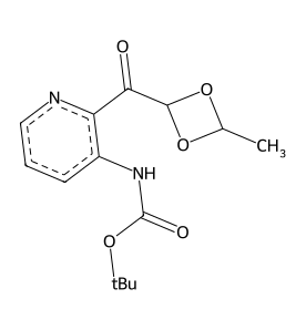 CC1OC(C(=O)c2ncccc2NC(=O)OC(C)(C)C)O1